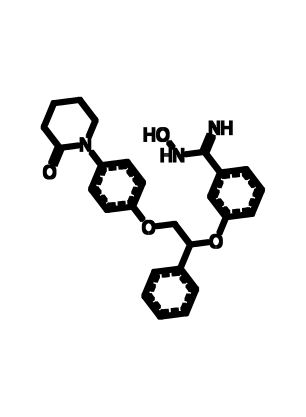 N=C(NO)c1cccc(OC(COc2ccc(N3CCCCC3=O)cc2)c2ccccc2)c1